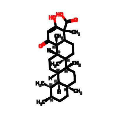 C[C@@H]1[C@H]2[C@H]3CC[C@@H]4[C@@]5(C)C(=O)C=C(O)C(C)(C(=O)O)C5CC[C@@]4(C)[C@]3(C)CC[C@@]2(C)CC[C@H]1C